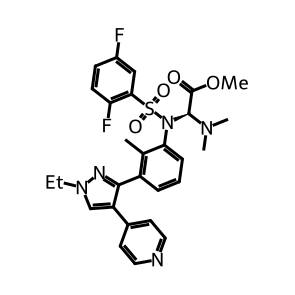 CCn1cc(-c2ccncc2)c(-c2cccc(N([C@@H](C(=O)OC)N(C)C)S(=O)(=O)c3cc(F)ccc3F)c2C)n1